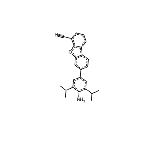 CC(C)c1cc(-c2ccc3c(c2)oc2c(C#N)cccc23)cc(C(C)C)c1N